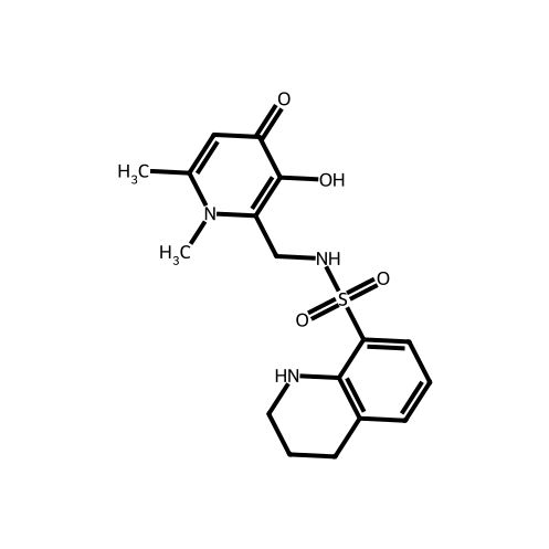 Cc1cc(=O)c(O)c(CNS(=O)(=O)c2cccc3c2NCCC3)n1C